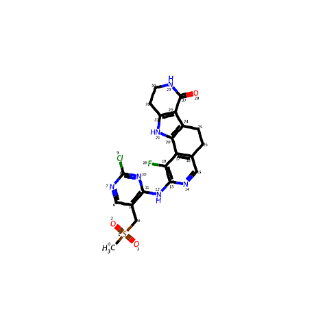 CS(=O)(=O)Cc1cnc(Cl)nc1Nc1ncc2c(c1F)-c1[nH]c3c(c1CC2)C(=O)NCC3